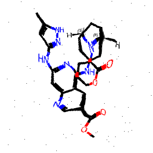 COC(=O)c1cnc2cc(Nc3cc(C)[nH]n3)nc(NC3C[C@H]4CC[C@@H](C3)N4C3CCCOC3=O)c2c1